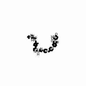 Cc1cc(-c2ccnc(Nc3cnn(C4CCN(CC5CCN(c6ccc7c(c6)C(=O)N(C6CCC(=O)NC6=O)C7=O)CC5)CC4)c3)n2)ccc1CNC(=O)c1cn(C(C)(C)C)nn1